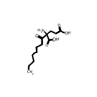 CCCCCCCC(=O)C(N)(CCC(=O)O)C(=O)O